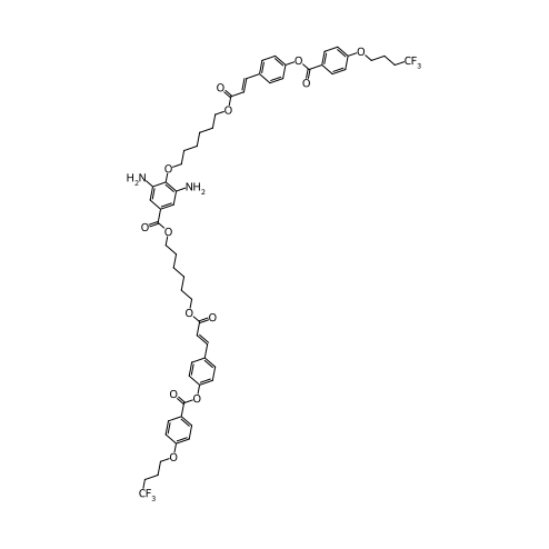 Nc1cc(C(=O)OCCCCCCOC(=O)C=Cc2ccc(OC(=O)c3ccc(OCCCC(F)(F)F)cc3)cc2)cc(N)c1OCCCCCCOC(=O)C=Cc1ccc(OC(=O)c2ccc(OCCCC(F)(F)F)cc2)cc1